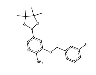 CC1(C)OB(c2cnc(N)c(OCc3cccc(F)c3)c2)OC1(C)C